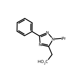 CC(C)n1nc(-c2ccccc2)nc1CC(=O)O